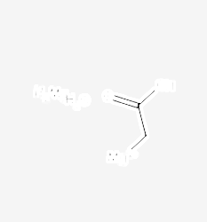 O.O=C(O)[CH2][Mg+2].[MgH2]